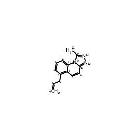 C=CCc1cccc2c1ccc1nnc(C)n12